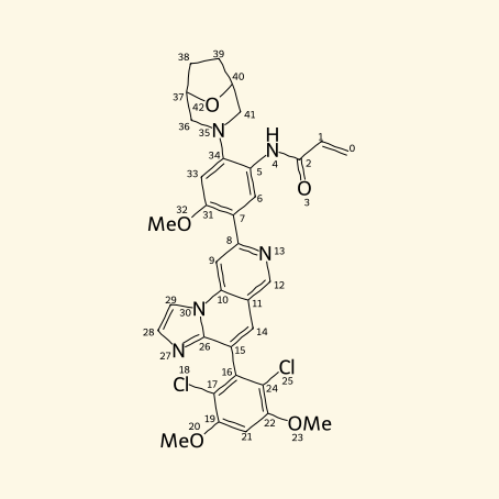 C=CC(=O)Nc1cc(-c2cc3c(cn2)cc(-c2c(Cl)c(OC)cc(OC)c2Cl)c2nccn23)c(OC)cc1N1CC2CCC(C1)O2